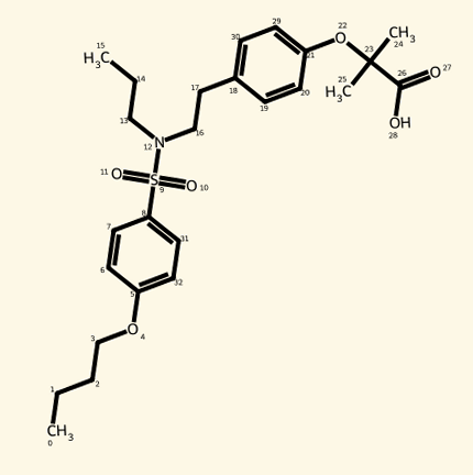 CCCCOc1ccc(S(=O)(=O)N(CCC)CCc2ccc(OC(C)(C)C(=O)O)cc2)cc1